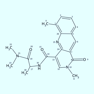 Cc1cccc2cc3c(=O)n(C)cc(C(=O)NC(C)C(=O)N(C)C)c3nc12